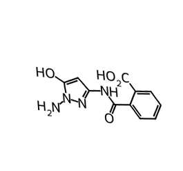 Nn1nc(NC(=O)c2ccccc2C(=O)O)cc1O